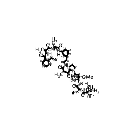 CC[C@H](C)[C@@H]([C@@H](CC(=O)N1CCC[C@H]1[C@H](OC)[C@@H](C)C(=O)NCCc1cccc(NC(=O)[C@H](C)NC(=O)[C@H](C)NC(=O)c2cncnc2CBr)c1)OC)N(C)C(=O)[C@@H](NC(=O)[C@H](C(C)C)N(C)C)C(C)C